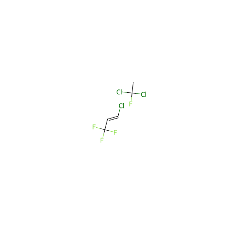 CC(F)(Cl)Cl.FC(F)(F)C=CCl